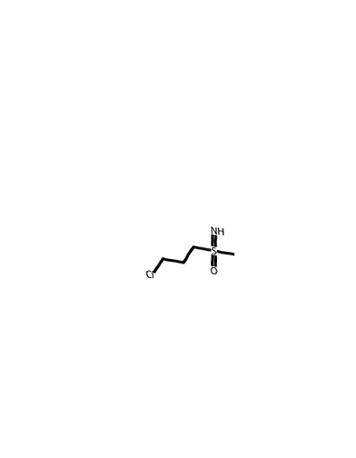 CS(=N)(=O)CCCCl